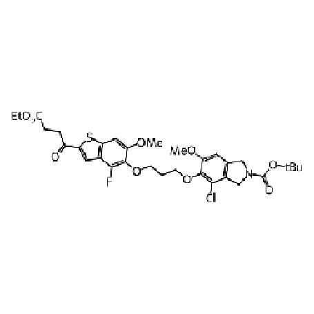 CCOC(=O)CCC(=O)c1cc2c(F)c(OCCCOc3c(OC)cc4c(c3Cl)CN(C(=O)OC(C)(C)C)C4)c(OC)cc2s1